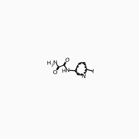 NC(=O)C(=O)Nc1ccc(I)nc1